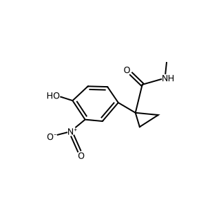 CNC(=O)C1(c2ccc(O)c([N+](=O)[O-])c2)CC1